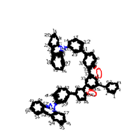 c1ccc(-c2c3oc4ccc(-c5cccc(-n6c7ccccc7c7ccccc76)c5)cc4c3cc3c2oc2ccc(-c4cccc(-n5c6ccccc6c6ccccc65)c4)cc23)cc1